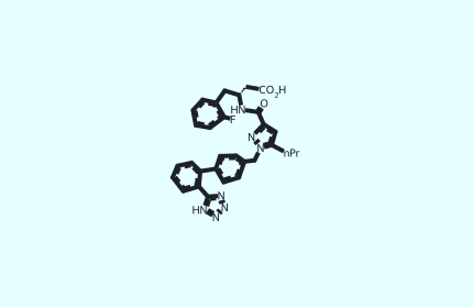 CCCc1cc(C(=O)N[C@@H](CC(=O)O)Cc2ccccc2F)nn1Cc1ccc(-c2ccccc2-c2nnn[nH]2)cc1